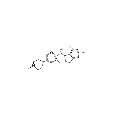 Cc1cc(C)c2c(c1)CCC2Nc1ccc(C2CCN(C)CC2)cc1C